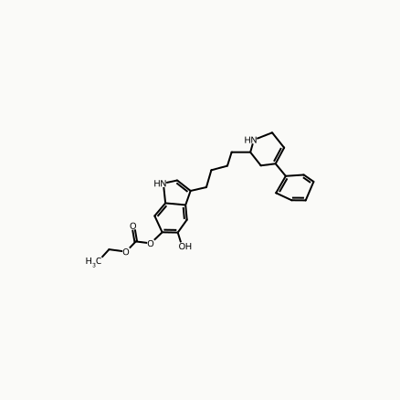 CCOC(=O)Oc1cc2[nH]cc(CCCCC3CC(c4ccccc4)=CCN3)c2cc1O